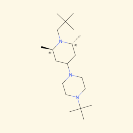 C[C@@H]1CC(N2CCN(C(C)(C)C)CC2)C[C@@H](C)N1CC(C)(C)C